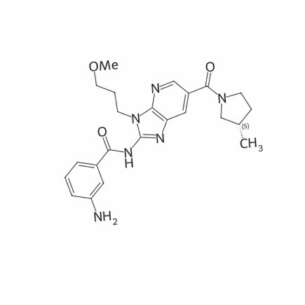 COCCCn1c(NC(=O)c2cccc(N)c2)nc2cc(C(=O)N3CC[C@H](C)C3)cnc21